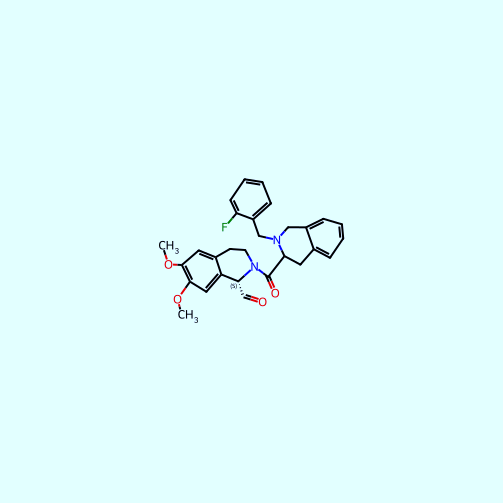 COc1cc2c(cc1OC)[C@@H](C=O)N(C(=O)C1Cc3ccccc3CN1Cc1ccccc1F)CC2